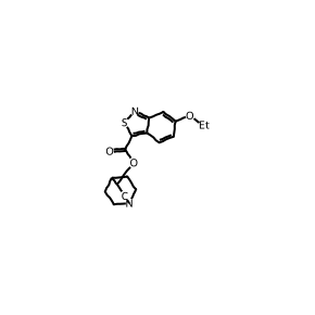 CCOc1ccc2c(C(=O)OC3CN4CCC3CC4)snc2c1